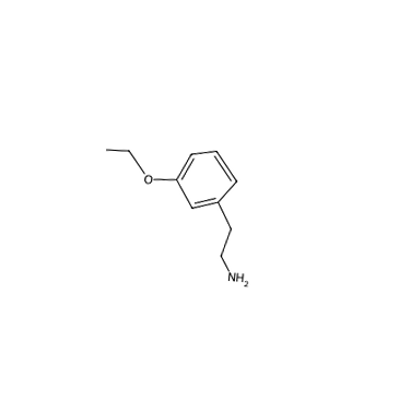 CCOc1cccc(CCN)c1